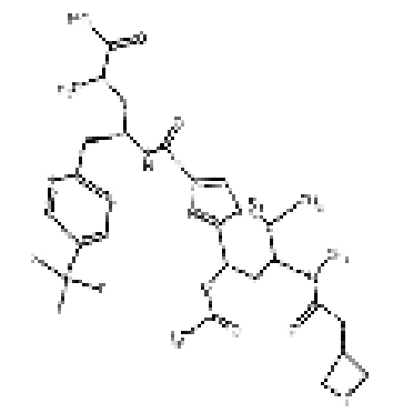 CC(=O)OC(CC(C(C)C)N(C)C(=O)CC1CSC1)c1nc(C(=O)N[C@@H](Cc2ncc(C(F)(F)F)cn2)CC(C)C(=O)O)cs1